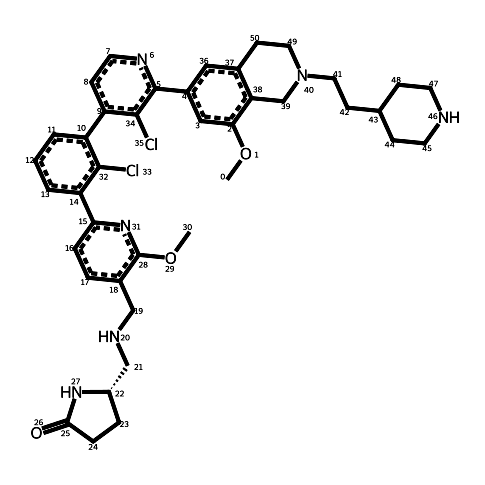 COc1cc(-c2nccc(-c3cccc(-c4ccc(CNC[C@@H]5CCC(=O)N5)c(OC)n4)c3Cl)c2Cl)cc2c1CN(CCC1CCNCC1)CC2